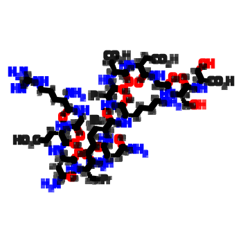 CC[C@H](C)[C@H](NC(=O)[C@@H](N)CCCNC(=N)N)C(=O)N[C@@H](CCC(=O)O)C(=O)N[C@@H](CC(N)=O)C(=O)N[C@@H](CC(C)C)C(=O)N[C@@H](CC(N)=O)C(=O)N[C@@H](CCCCN)C(=O)N[C@@H](CCCCN)C(=O)N[C@H](C(=O)N[C@@H](CC(=O)O)C(=O)N[C@@H](CC(=O)O)C(=O)NCC(=O)N[C@@H](CO)C(=O)N[C@@H](CO)C(=O)O)C(C)C